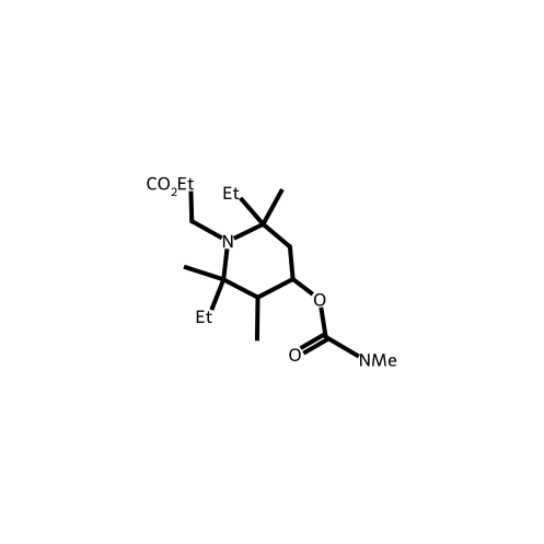 CCOC(=O)CN1C(C)(CC)CC(OC(=O)NC)C(C)C1(C)CC